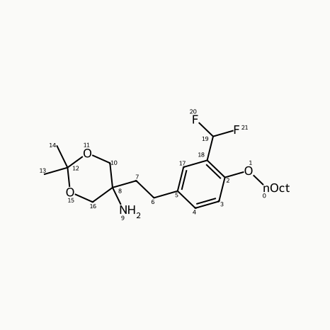 CCCCCCCCOc1ccc(CCC2(N)COC(C)(C)OC2)cc1C(F)F